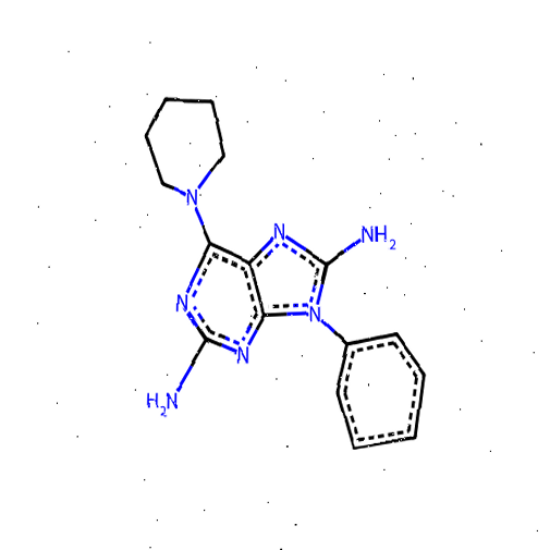 Nc1nc(N2CCCCC2)c2nc(N)n(-c3ccccc3)c2n1